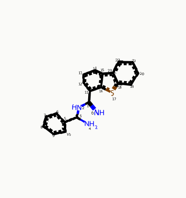 N=C(NC(N)c1ccccc1)c1cccc2c1sc1ccccc12